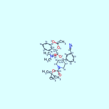 CC(=O)O[C@H](C(=O)O[C@]1(c2cccc(C#N)c2)CCN(C(=O)OC(C)(C)C)C[C@@H]1CN(C)C)c1ccccc1